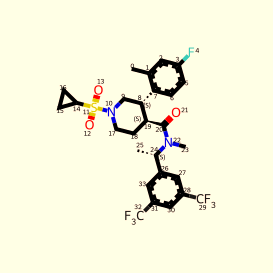 Cc1cc(F)ccc1[C@H]1CN(S(=O)(=O)C2CC2)CC[C@@H]1C(=O)N(C)[C@@H](C)c1cc(C(F)(F)F)cc(C(F)(F)F)c1